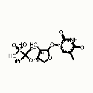 Cc1cn(OC2OC[C@H](OC(C(C)C)(C(C)C)P(=O)(O)O)[C@H]2O)c(=O)[nH]c1=O